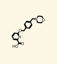 O=C(O)c1cccc(OCc2ccc(CN3CCOCC3)cc2)n1